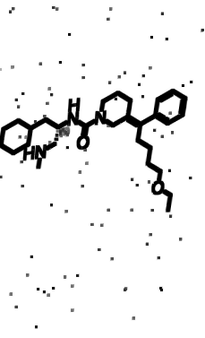 CCOCCCCC(=C1CCCN(C(=O)N[C@H](CNC)CC2CCCCC2)C1)c1ccccc1